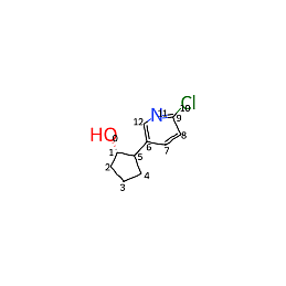 O[C@H]1CCCC1c1ccc(Cl)nc1